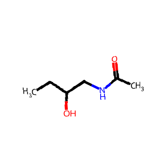 CCC(O)CNC(C)=O